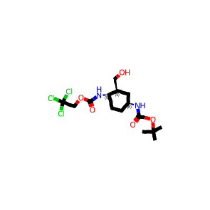 CC(C)(C)OC(=O)N[C@@H]1CC[C@H](NC(=O)OCC(Cl)(Cl)Cl)[C@@H](CO)C1